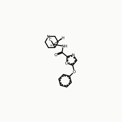 O=C(N[C@H]1CN2CCC1CC2)c1ncc(Oc2ccccc2)o1